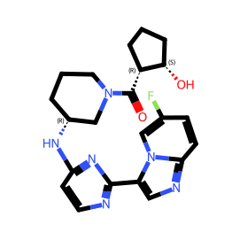 O=C([C@@H]1CCC[C@@H]1O)N1CCC[C@@H](Nc2ccnc(-c3cnc4ccc(F)cn34)n2)C1